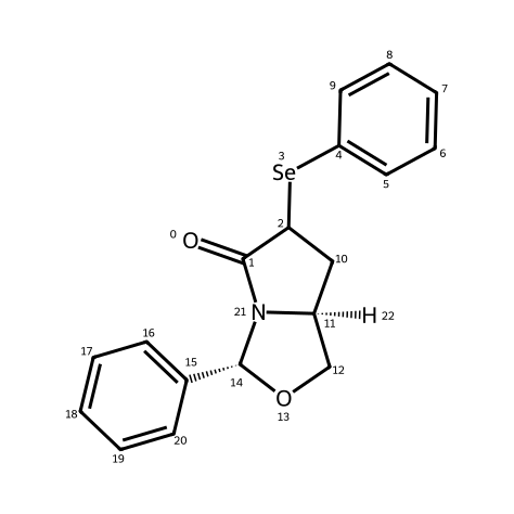 O=C1C([Se]c2ccccc2)C[C@H]2CO[C@H](c3ccccc3)N12